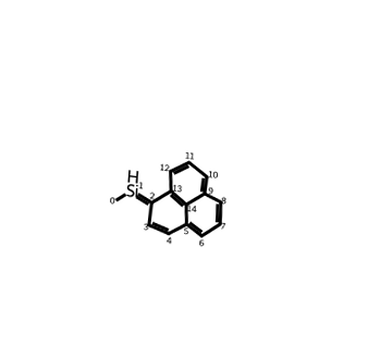 C[SiH]=c1ccc2cccc3cccc1c32